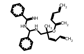 C=C/C=C\C(=C)OC(C)(/C=C\C=C)CNC(NC(=N)c1ccccc1)c1ccccc1